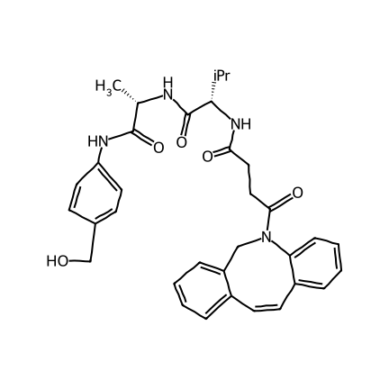 CC(C)[C@H](NC(=O)CCC(=O)N1Cc2ccccc2/C=C\c2ccccc21)C(=O)N[C@@H](C)C(=O)Nc1ccc(CO)cc1